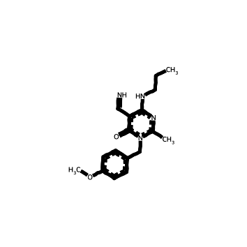 CCCNc1nc(C)n(Cc2ccc(OC)cc2)c(=O)c1C=N